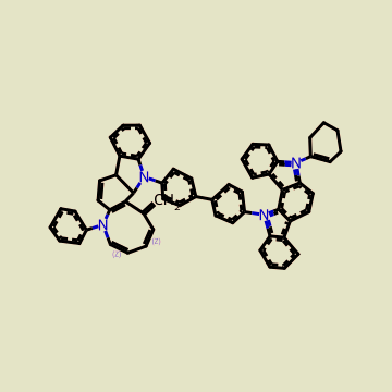 C=C1/C=C\C=C/N(c2ccccc2)C2=C1C1C(C=C2)c2ccccc2N1c1ccc(-c2ccc(-n3c4ccccc4c4ccc5c(c6ccccc6n5C5=CCCCC5)c43)cc2)cc1